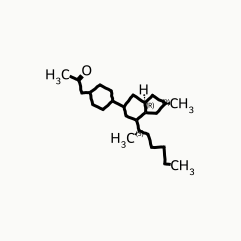 CCCCC[C@H](C)C1CC(C2CCC(CC(C)=O)CC2)C[C@H]2C[C@@H](C)CC12